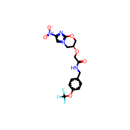 O=C(CO[C@@H]1COc2nc([N+](=O)[O-])cn2C1)NCc1ccc(OC(F)(F)F)cc1